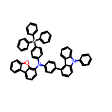 c1ccc(-n2c3ccccc3c3c(-c4ccc(N(c5ccc([Si](c6ccccc6)(c6ccccc6)c6ccccc6)cc5)c5cccc6c5oc5ccccc56)cc4)cccc32)cc1